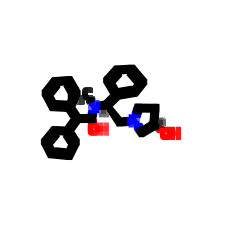 CN(C(O)C(c1ccccc1)c1ccccc1)[C@H](CN1CC[C@@H](O)C1)c1ccccc1